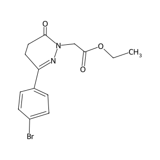 CCOC(=O)CN1N=C(c2ccc(Br)cc2)CCC1=O